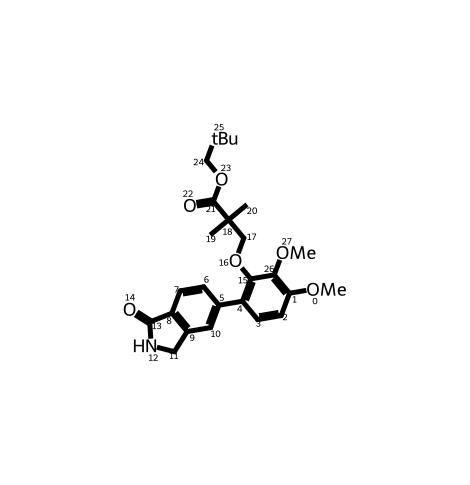 COc1ccc(-c2ccc3c(c2)CNC3=O)c(OCC(C)(C)C(=O)OCC(C)(C)C)c1OC